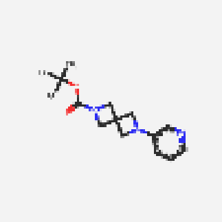 CC(C)(C)OC(=O)N1CC2(C1)CN(c1cccnc1)C2